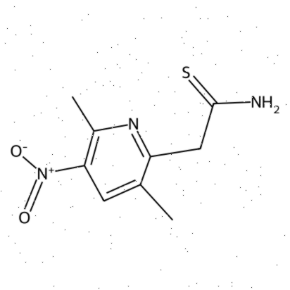 Cc1cc([N+](=O)[O-])c(C)nc1CC(N)=S